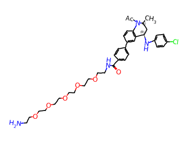 CC(=O)N1c2ccc(-c3ccc(C(=O)NCCOCCOCCOCCOCCOCCN)cc3)cc2[C@H](Nc2ccc(Cl)cc2)C[C@@H]1C